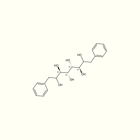 OC(Cc1ccccc1)[C@@H](O)[C@@H](O)[C@H](O)[C@H](O)C(O)Cc1ccccc1